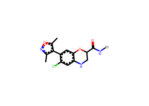 CCNC(=O)C1CNc2cc(Cl)c(-c3c(C)noc3C)cc2O1